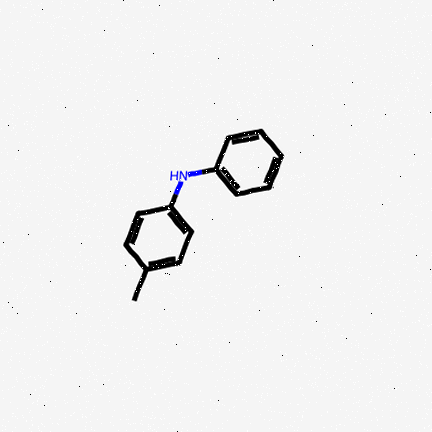 Cc1ccc(Nc2c[c]ccc2)cc1